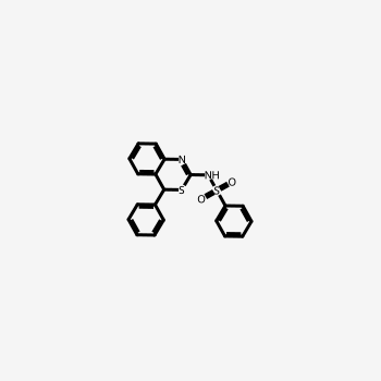 O=S(=O)(NC1=Nc2ccccc2C(c2ccccc2)S1)c1ccccc1